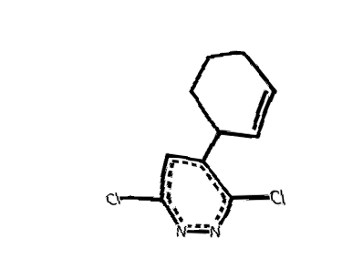 Clc1cc(C2C=CCCC2)c(Cl)nn1